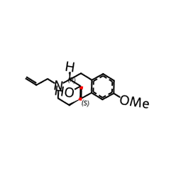 C=CCN1CC[C@]23CCCCC2(O)[C@H]1Cc1ccc(OC)cc13